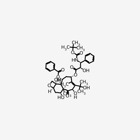 C/C1=C(/C(C)(C)O)[C@@H](O)C(=O)[C@@]2(C)[C@H]([C@H](OC(=O)c3ccccc3)C[C@@H]1OC(=O)[C@H](O)[C@@H](NC(=O)OC(C)(C)C)c1ccccc1)[C@]1(O)CO[C@@H]1C[C@@H]2O